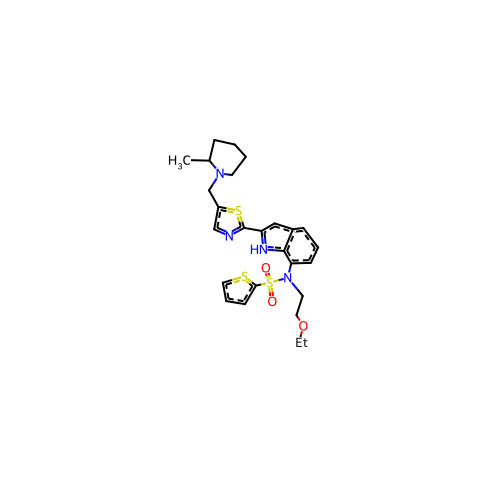 CCOCCN(c1cccc2cc(-c3ncc(CN4CCCCC4C)s3)[nH]c12)S(=O)(=O)c1cccs1